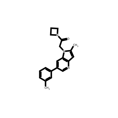 Cc1cccc(-c2cnc3cc(C)n(CC(=O)N4CCC4)c3c2)c1